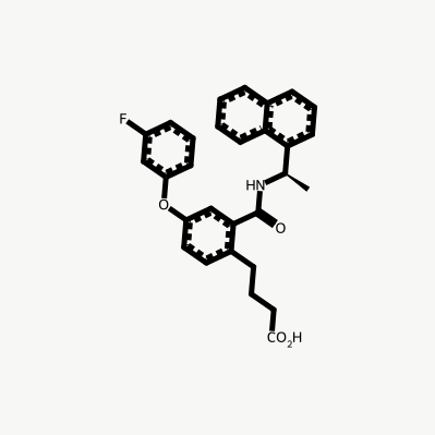 C[C@@H](NC(=O)c1cc(Oc2cccc(F)c2)ccc1CCCC(=O)O)c1cccc2ccccc12